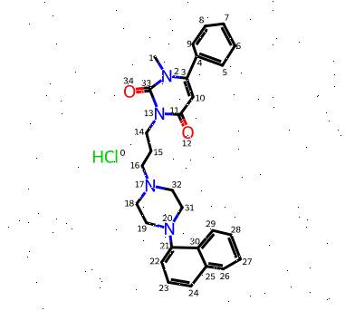 Cl.Cn1c(-c2ccccc2)cc(=O)n(CCCN2CCN(c3cccc4ccccc34)CC2)c1=O